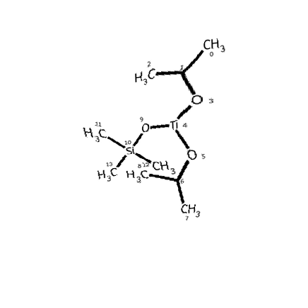 CC(C)[O][Ti]([O]C(C)C)[O][Si](C)(C)C